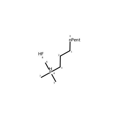 CCCCCCCC[PH](C)(C)C.F